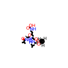 CC(C)C[C@H](NC(=O)[C@H](CCCCNC(=O)O)NC(=O)[C@H](C)NC(=O)C(C)C)B1O[C@@H]2C[C@@H]3C[C@@H](C3(C)C)[C@]2(C)O1